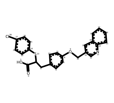 O=C(O)C(Cc1ccc(OCc2cnc3ccccc3c2)cc1)Sc1ccc(Cl)cc1